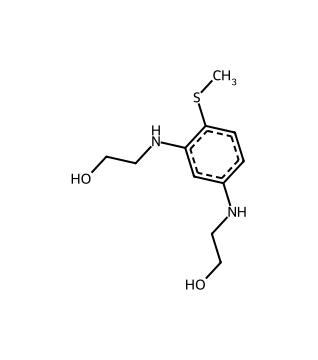 CSc1ccc(NCCO)cc1NCCO